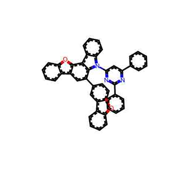 c1ccc(-c2cc(-n3c4ccccc4c4c5oc6ccccc6c5cc(-c5ccc6oc7ccccc7c6c5)c43)nc(-c3ccccc3)n2)cc1